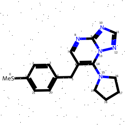 CSc1ccc(Cc2cnc3ncnn3c2N2CCCC2)cc1